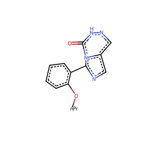 CCCOc1ccccc1-c1ncc2cn[nH]c(=O)n12